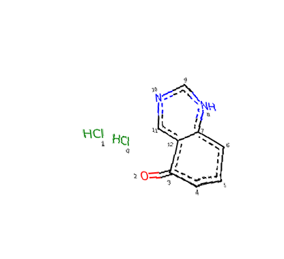 Cl.Cl.O=c1cccc2[nH]cncc1-2